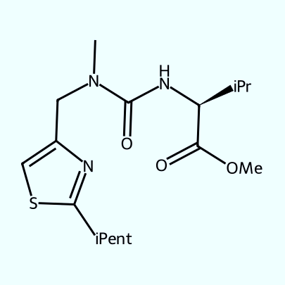 CCCC(C)c1nc(CN(C)C(=O)N[C@H](C(=O)OC)C(C)C)cs1